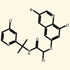 CCC(Oc1cc(Cl)c2ncc(Br)cc2c1)C(=O)NC(C)(C)c1cc(Cl)ccn1